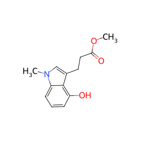 COC(=O)CCc1cn(C)c2cccc(O)c12